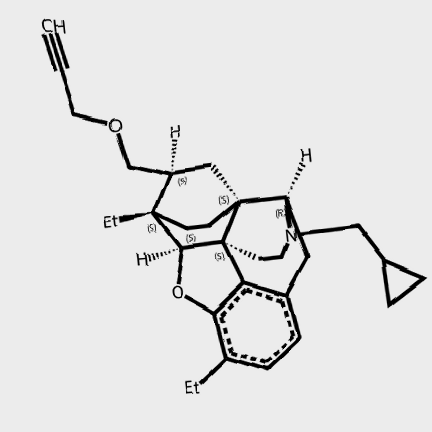 C#CCOC[C@H]1C[C@@]23CC[C@]1(CC)[C@@H]1Oc4c(CC)ccc5c4[C@@]12CCN(CC1CC1)[C@@H]3C5